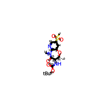 C[C@H]1Oc2cc(S(C)(=O)=O)cnc2N(C)C(=O)[C@H]1NC(=O)OC(C)(C)C